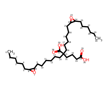 CCCCCCC1OC1CCCCCCC(CCCCCCC1OC1CCCCCC)(CCCC(=O)O)C(=O)O